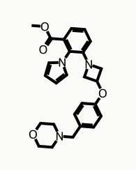 COC(=O)c1cccc(N2CC(Oc3ccc(CN4CCOCC4)cc3)C2)c1-n1cccc1